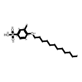 CCCCCCCCCCCCOc1ccc(S(=O)(=O)O)cc1C